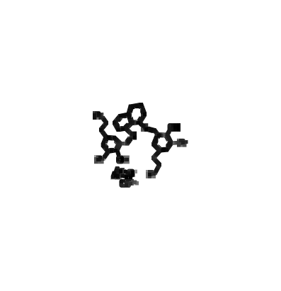 CC(=O)[O-].CC(=O)[O-].CC(C)CCc1cc(C=Nc2cccc3cccc(N=Cc4cc(CCC(C)C)cc(C(C)C)c4O)c23)c(O)c(C(C)C)c1.[Co+2]